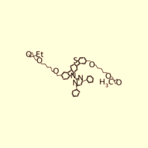 CCC1(COCCCCCOCc2ccc3c(c2)c2cc4sc5ccc(COCCCCCOCC6(C)COC6)cc5c4cc2n3-c2nc(-c3ccccc3)cc(-c3ccccc3)n2)COC1